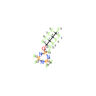 FC(F)(F)C(F)(F)C(F)(F)C(F)(F)OP1(F)=NP(F)(F)=NP(F)(F)=N1